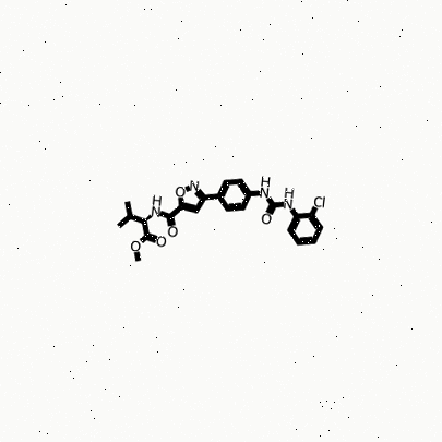 COC(=O)[C@H](NC(=O)c1cc(-c2ccc(NC(=O)Nc3ccccc3Cl)cc2)no1)C(C)C